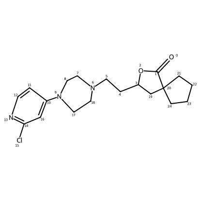 O=C1OC(CCN2CCN(c3ccnc(Cl)c3)CC2)CC12CCCC2